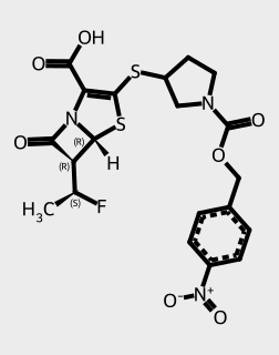 C[C@H](F)[C@H]1C(=O)N2C(C(=O)O)=C(SC3CCN(C(=O)OCc4ccc([N+](=O)[O-])cc4)C3)S[C@H]12